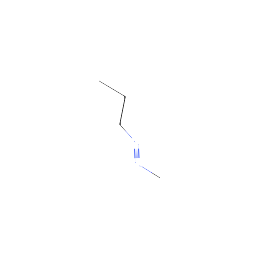 CCCN=NC